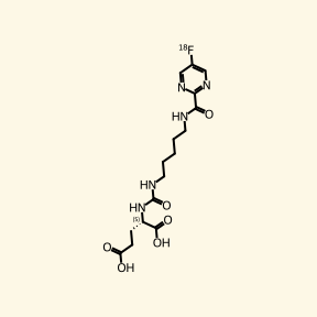 O=C(O)CC[C@H](NC(=O)NCCCCCNC(=O)c1ncc([18F])cn1)C(=O)O